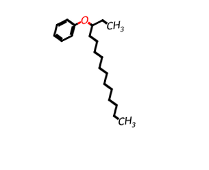 CCCCCCCCCCCCC(CC)Oc1ccccc1